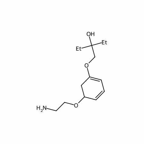 CCC(O)(CC)COC1=CC=CC(OCCN)C1